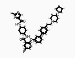 Cc1nc(C(=O)NC2CCC(NC(=O)c3cc(F)cnc3Oc3cccc(-c4ccc(CCN5CCC(N6CCCC6)CC5)cc4)c3)CC2)cs1